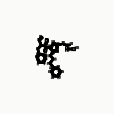 C=CC(Cc1ccccc1)S(=O)(=O)c1cc(CNC)nn1CCCc1ccccc1.Cl